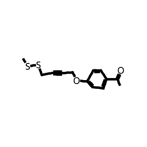 CSSCC#CCOc1ccc(C(C)=O)cc1